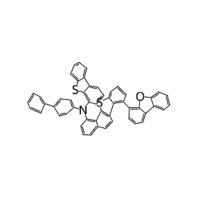 c1ccc(-c2ccc(N(c3cccc4c3sc3ccccc34)c3cccc4ccc5c(sc6cccc(-c7cccc8c7oc7ccccc78)c65)c34)cc2)cc1